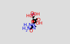 NC(=O)c1ncn([C@@H]2O[C@H](CCP(=O)(O)O)C(C=O)[C@H]2O)c1N